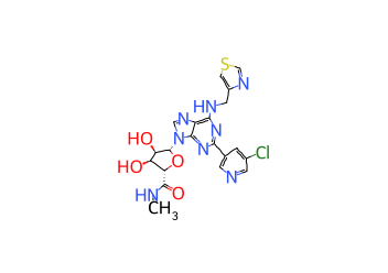 CNC(=O)[C@H]1O[C@@H](n2cnc3c(NCc4cscn4)nc(-c4cncc(Cl)c4)nc32)[C@H](O)[C@@H]1O